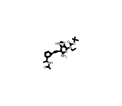 CCN(C(=O)OC(C)(C)C)c1nc(N)c(C#Cc2cccc(C(C)NC(C)=O)c2)c2[nH]cnc12